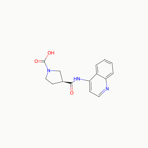 O=C(Nc1ccnc2ccccc12)[C@H]1CCN(C(=O)O)C1